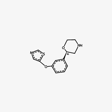 c1cc(Oc2cncs2)cc([C@@H]2CNCCO2)c1